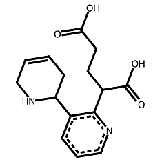 O=C(O)CCC(C(=O)O)c1ncccc1C1CC=CCN1